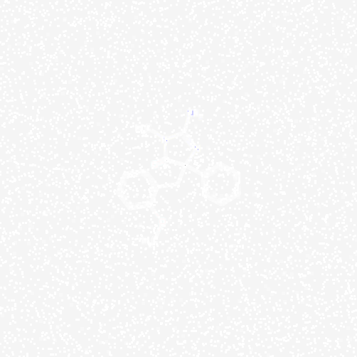 COc1ccccc1CC1(c2ccccc2)N=C(N)N(C)C1=O